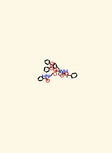 C[C@@](Cc1cc2c(-c3ccccc3)c(-c3ccccc3)c1OCO2)(NC(=O)OCc1ccccc1)C(=O)OCCNC(=O)c1ccccc1